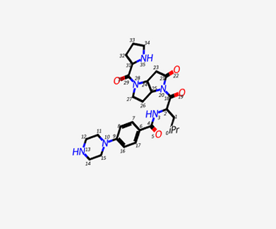 CC(C)CC(NC(=O)c1ccc(N2CCNCC2)cc1)C(=O)N1C(=O)CC2C1CCN2C(=O)C1CCCN1